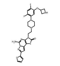 Nc1nc2c(sc(=O)n2CCN2CCN(c3cc(OC4CNC4)c(F)cc3F)CC2)c2cc(-c3ccco3)nn12